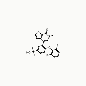 Cn1cc(-c2cc(C(C)(C)O)ccc2Oc2c(F)cccc2F)c2ccsc2c1=O